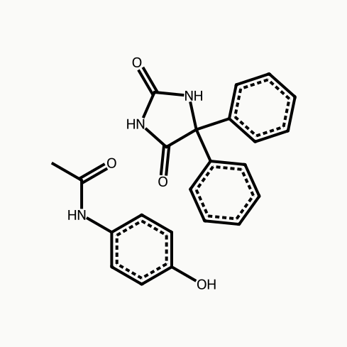 CC(=O)Nc1ccc(O)cc1.O=C1NC(=O)C(c2ccccc2)(c2ccccc2)N1